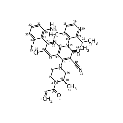 C=CC(=O)N1CCN(c2c(C#N)c(=O)n(-c3c(C)ccnc3C(C)C)c3nc(-c4c(N)cccc4F)c(Cl)cc23)C[C@H]1C